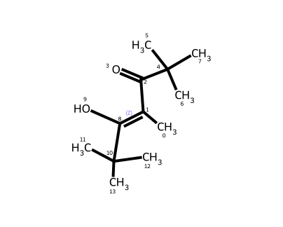 C/C(C(=O)C(C)(C)C)=C(/O)C(C)(C)C